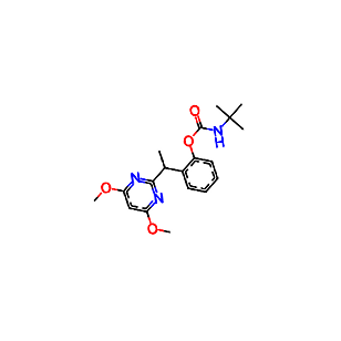 COc1cc(OC)nc(C(C)c2ccccc2OC(=O)NC(C)(C)C)n1